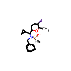 CC1OC(C(C2CC2)N(Cc2ccccc2)[S+]([O-])C(C)(C)C)CCC1I